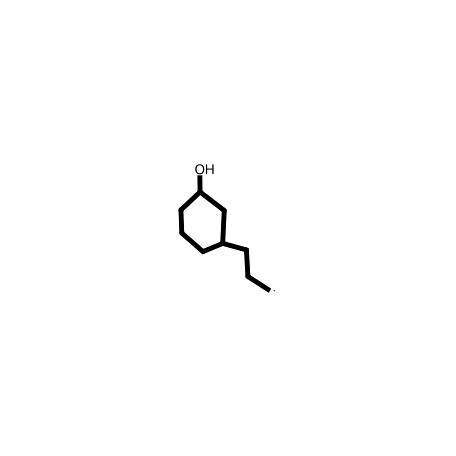 [CH2]CCC1CCCC(O)C1